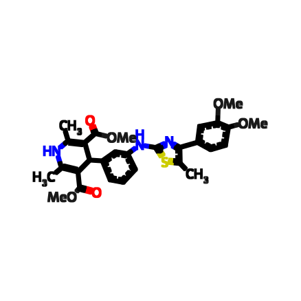 COC(=O)C1=C(C)NC(C)=C(C(=O)OC)C1c1cccc(Nc2nc(-c3ccc(OC)c(OC)c3)c(C)s2)c1